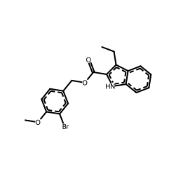 CCc1c(C(=O)OCc2ccc(OC)c(Br)c2)[nH]c2ccccc12